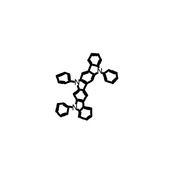 c1ccc(-n2c3ccccc3c3cc4c(cc32)c2cc3c5ccccc5n(-c5ccccc5)c3cc2n4-c2ccccc2)cc1